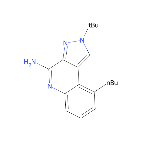 CCCCc1cccc2nc(N)c3nn(C(C)(C)C)cc3c12